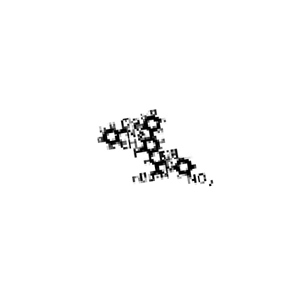 CCCCc1nn(-c2cc([N+](=O)[O-])ccc2C(F)(F)F)c(C#N)c1Cc1ccc(-c2ccccc2S(=O)(=O)NC(=O)c2ccccc2Cl)cc1F